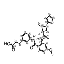 COc1ccc(C(=O)Nc2cccc(CCC(=O)O)c2)c(NC(=O)[C@]2(C)C[C@H](c3ccco3)[C@@H]2C)c1